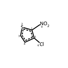 O=[N+]([O-])c1sccc1Cl